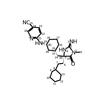 CN1C(=N)N[C@](CCC2CCCCC2)(C[C@H]2CCC[C@@H](Nc3ccc(C#N)cn3)C2)C1=O